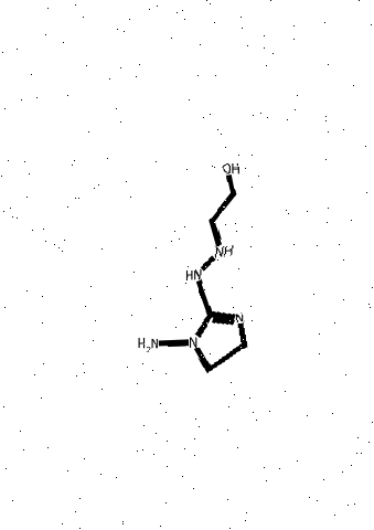 NN1CCN=C1NNCCO